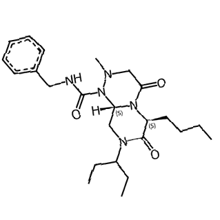 CCCC[C@H]1C(=O)N(C(CC)CC)C[C@H]2N1C(=O)CN(C)N2C(=O)NCc1ccccc1